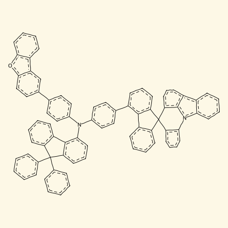 c1ccc(C2(c3ccccc3)c3ccccc3-c3c(N(c4ccc(-c5ccc6oc7ccccc7c6c5)cc4)c4ccc(-c5cccc6c5-c5ccccc5C65c6ccccc6-n6c7ccccc7c7cccc5c76)cc4)cccc32)cc1